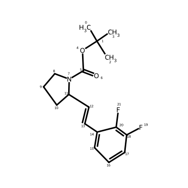 CC(C)(C)OC(=O)N1CCCC1C=Cc1cccc(F)c1F